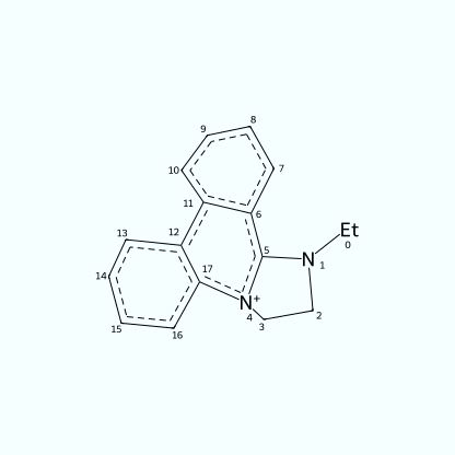 CCN1CC[n+]2c1c1ccccc1c1ccccc12